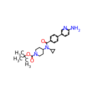 CC(C)(C)OC(=O)N1CCC(N(C(=O)c2ccc(-c3ccc(N)nc3)cc2)C2CC2)CC1